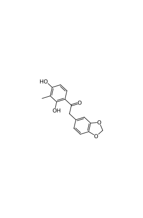 Cc1c(O)ccc(C(=O)Cc2ccc3c(c2)OCO3)c1O